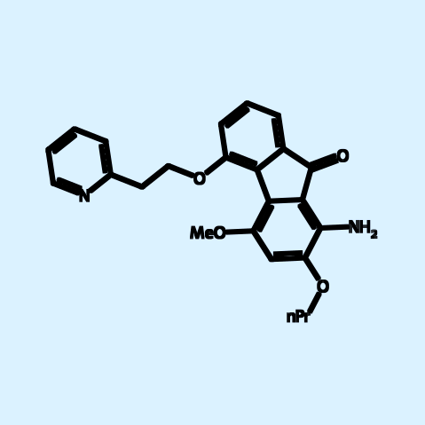 CCCOc1cc(OC)c2c(c1N)C(=O)c1cccc(OCCc3ccccn3)c1-2